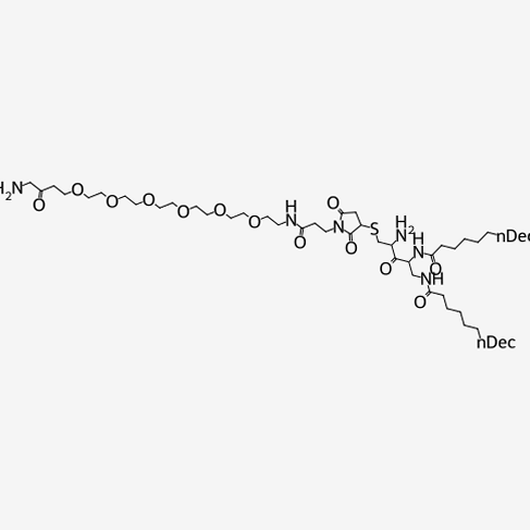 CCCCCCCCCCCCCCCC(=O)NCC(NC(=O)CCCCCCCCCCCCCCC)C(=O)C(N)CSC1CC(=O)N(CCC(=O)NCCOCCOCCOCCOCCOCCOCCC(=O)CN)C1=O